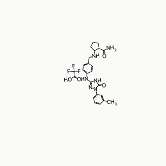 Cc1cccc(-n2nc(Nc3ccc(CN[C@H]4CCC[C@H]4C(N)=O)cc3)[nH]c2=O)c1.O=C(O)C(F)(F)F